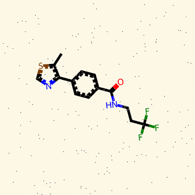 Cc1scnc1-c1ccc(C(=O)NCCC(F)(F)F)cc1